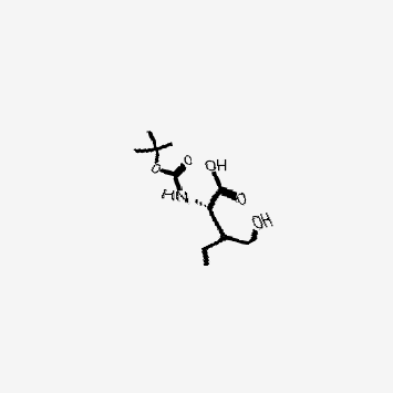 CCC(CO)[C@H](NC(=O)OC(C)(C)C)C(=O)O